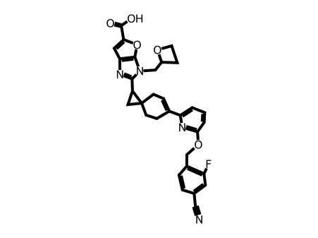 N#Cc1ccc(COc2cccc(C3=CCC4(CC3)CC4c3nc4cc(C(=O)O)oc4n3CC3CCO3)n2)c(F)c1